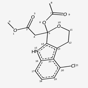 COC(=O)CC1(OC(C)=O)OCCc2c1[nH]c1cccc(Cl)c21